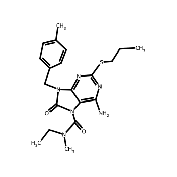 CCCSc1nc(N)c2c(n1)n(Cc1ccc(C)cc1)c(=O)n2C(=O)N(C)CC